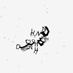 Nc1ncccc1NCc1cc(NC(=O)c2nsc(Cl)c2Cl)ccc1F